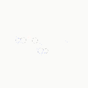 Cc1cc(Nc2ncnn3ccc(CCCC4CCCC(N)CC4)c23)ccc1Oc1ccn2ncnc2c1